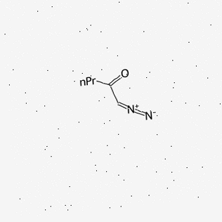 CCCC(=O)C=[N+]=[N-]